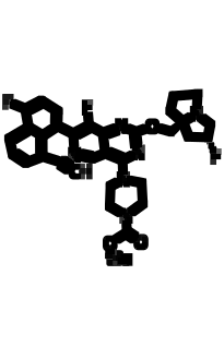 C#Cc1cccc2c(F)ccc(-c3ncc4c(N5CCN(C(=O)OC(C)(C)C)CC5)nc(OC[C@@]56CCCN5C[C@H](F)C6)nc4c3F)c12